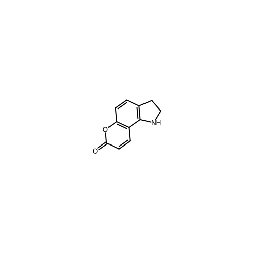 O=c1ccc2c3c(ccc2o1)CCN3